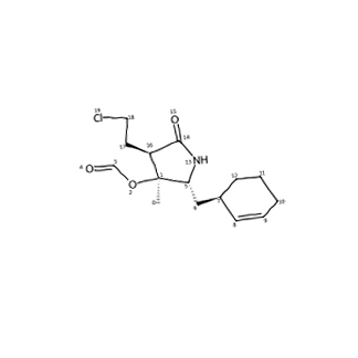 C[C@@]1(OC=O)[C@@H](C[C@@H]2C=CCCC2)NC(=O)[C@@H]1CCCl